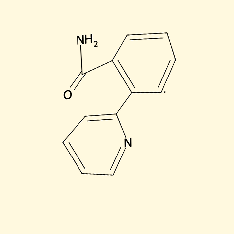 NC(=O)c1ccc[c]c1-c1ccccn1